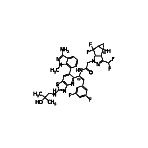 Cn1nc(N)c2cccc(-c3cc4sc(NCC(C)(C)O)nc4nc3[C@H](Cc3cc(F)cc(F)c3)NC(=O)Cn3nc(C(F)F)c4c3C(F)(F)C3C[C@H]43)c21